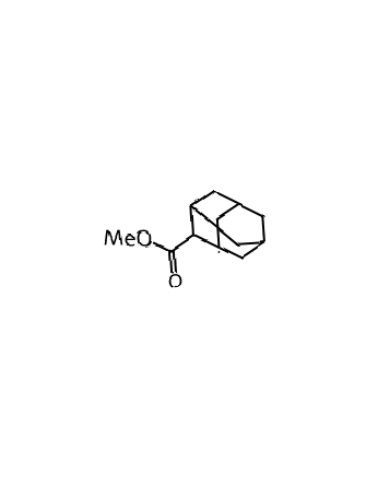 COC(=O)C1[C]2CC3CC(C2)CC1C3